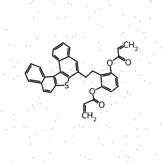 C=CC(=O)Oc1cccc(OC(=O)C=C)c1CCc1cc2ccccc2c2c1sc1ccc3ccccc3c12